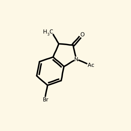 CC(=O)N1C(=O)C(C)c2ccc(Br)cc21